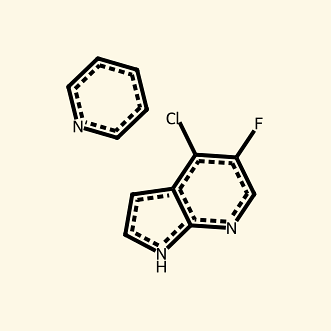 Fc1cnc2[nH]ccc2c1Cl.c1ccncc1